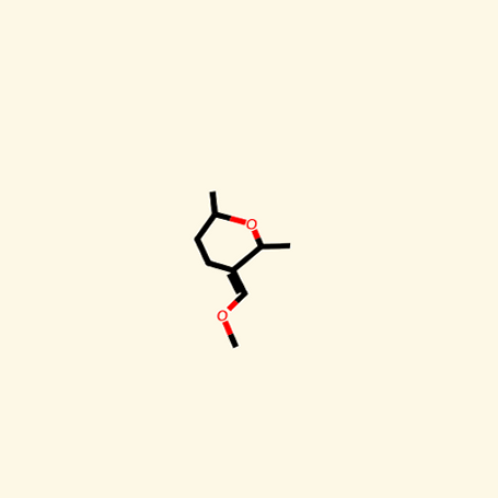 COC=C1CCC(C)OC1C